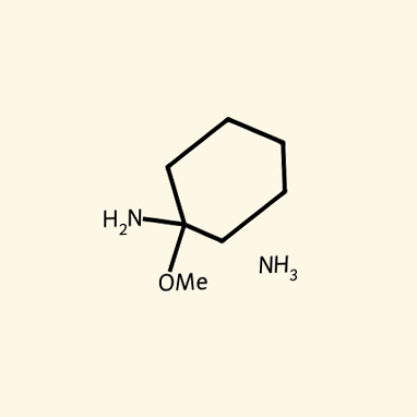 COC1(N)CCCCC1.N